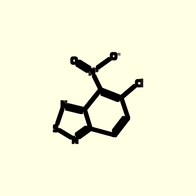 O=[N+]([O-])c1c(Cl)ccc2nsnc12